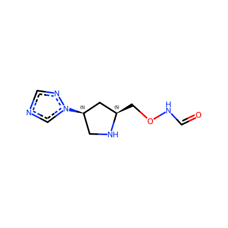 O=CNOC[C@@H]1C[C@H](n2cncn2)CN1